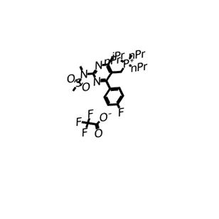 CCC[P+](CCC)(CCC)Cc1c(-c2ccc(F)cc2)nc(N(C)S(C)(=O)=O)nc1C(C)C.O=C([O-])C(F)(F)F